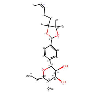 C/C=C\CCC1(C)OB(c2ccc([C@H]3O[C@H](COC(C)=O)[C@@H](OC(C)=O)[C@H](O)[C@@H]3O)cc2)OC1(C)C